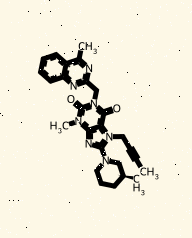 CC#CCn1c(N2CCC[C@H](C)C2)nc2c1c(=O)n(Cc1nc(C)c3ccccc3n1)c(=O)n2C